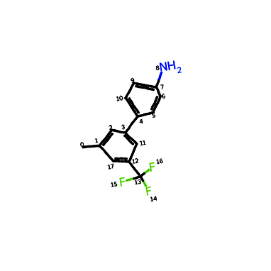 Cc1cc(-c2ccc(N)cc2)cc(C(F)(F)F)c1